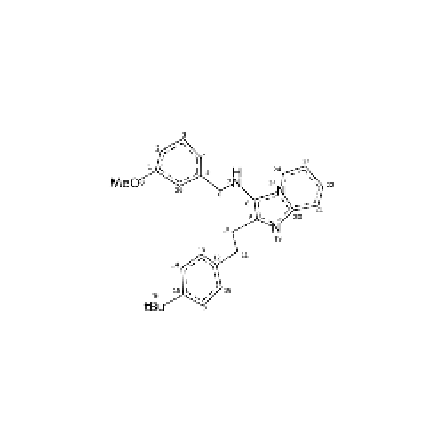 COc1cccc(CNc2c(CCc3ccc(C(C)(C)C)cc3)nc3ccccn23)c1